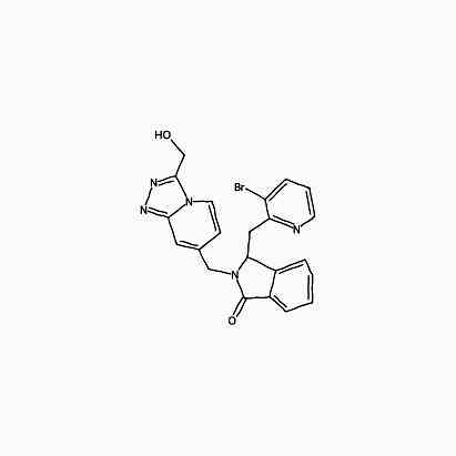 O=C1c2ccccc2C(Cc2ncccc2Br)N1Cc1ccn2c(CO)nnc2c1